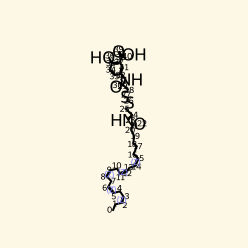 CC/C=C\C/C=C\C/C=C\C/C=C\C/C=C\CCCCCC(=O)NCCSSCC(=O)Nc1ccc(O)c(C(=O)O)c1